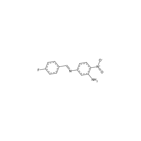 Nc1cc(N=Cc2ccc(F)cc2)ccc1[N+](=O)[O-]